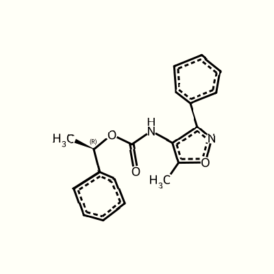 Cc1onc(-c2ccccc2)c1NC(=O)O[C@H](C)c1ccccc1